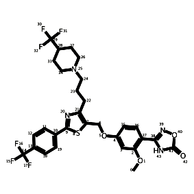 COc1cc(OCc2sc(-c3ccc(C(F)(F)F)cc3)nc2CCCN2CCC(C(F)(F)F)CC2)ccc1-c1noc(=O)[nH]1